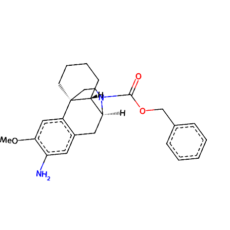 COc1cc2c(cc1N)C[C@H]1[C@H]3CCCC[C@@]23CCN1C(=O)OCc1ccccc1